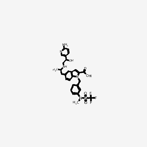 CC(Cc1ccc2c(c1)cc(C(=O)O)n2Cc1cccc(N(C)S(=O)(=O)C(F)(F)F)c1)NCC(O)c1ccc(N)nc1